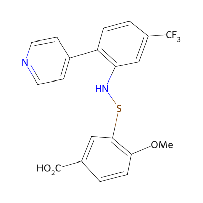 COc1ccc(C(=O)O)cc1SNc1cc(C(F)(F)F)ccc1-c1ccncc1